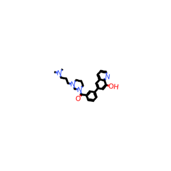 CN(C)CCCN1CCCN(C(=O)c2cccc(-c3cc(O)c4ncccc4c3)c2)C1